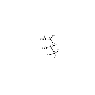 CC(O)OC(=O)C(C)(C)I